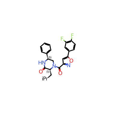 CC(C)C[C@H]1C(=O)N[C@@H](c2ccccc2)CN1C(=O)c1cc(-c2ccc(F)c(F)c2)on1